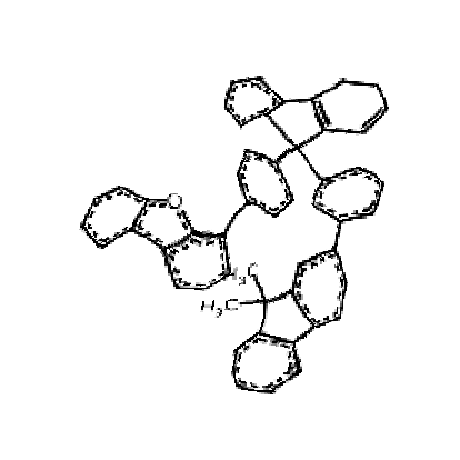 CC1(C)c2ccccc2-c2ccc(-c3cccc(C4(c5ccc(-c6cccc7c6oc6ccccc67)cc5)C5=C(CCC=C5)c5ccccc54)c3)cc21